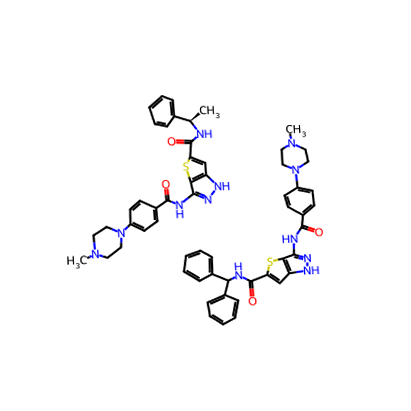 CN1CCN(c2ccc(C(=O)Nc3n[nH]c4cc(C(=O)NC(c5ccccc5)c5ccccc5)sc34)cc2)CC1.C[C@@H](NC(=O)c1cc2[nH]nc(NC(=O)c3ccc(N4CCN(C)CC4)cc3)c2s1)c1ccccc1